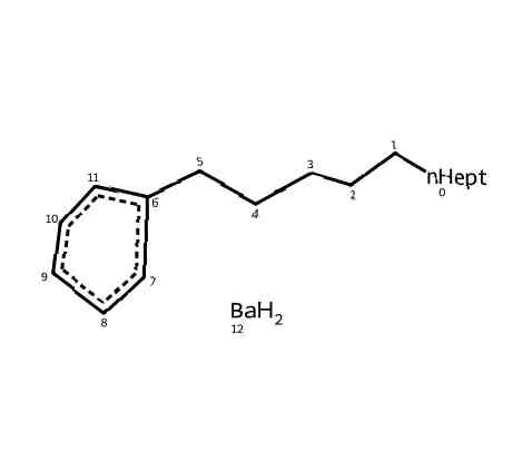 CCCCCCCCCCCCc1ccccc1.[BaH2]